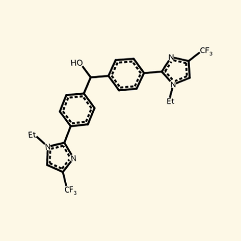 CCn1cc(C(F)(F)F)nc1-c1ccc(C(O)c2ccc(-c3nc(C(F)(F)F)cn3CC)cc2)cc1